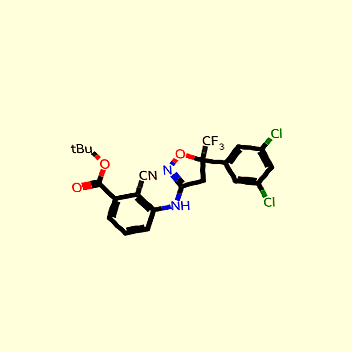 CC(C)(C)OC(=O)c1cccc(NC2=NOC(c3cc(Cl)cc(Cl)c3)(C(F)(F)F)C2)c1C#N